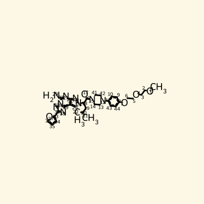 COCCOCCOc1ccc(N2CCN(C(=O)C(CC(C)C)n3cc4c(nc(N)n5nc(-c6ccco6)nc45)n3)CC2)cc1